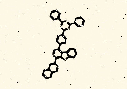 c1ccc(-c2nc(-c3ccccc3)nc(-c3ccc(-c4cnc(-c5cc6ccccc6cn5)c5sc6ccccc6c45)cc3)n2)cc1